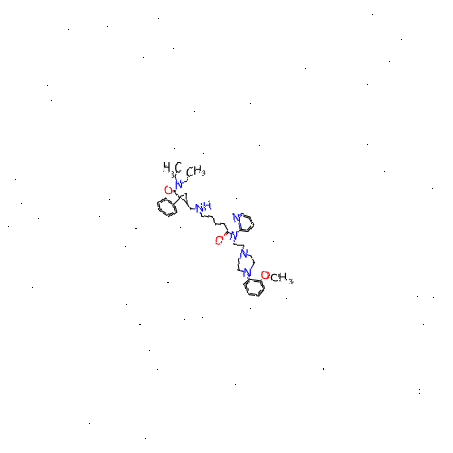 CCN(CC)C(=O)C1(c2ccccc2)CC1CNCCCCC(=O)N(CCN1CCN(c2ccccc2OC)CC1)c1ccccn1